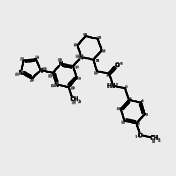 COc1ccc(CNC(=O)CC2CCCCN2c2cc(C)nc(-n3ccnc3)n2)cc1